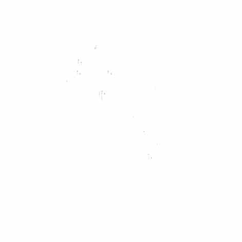 CCCc1nn(C)c2c(=O)[nH]c(-c3cc(C4CCC(C(=O)NOC5CCCCO5)CC4)ccc3OCC)nc12